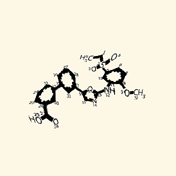 CCS(=O)(=O)c1ccc(OC)c(Nc2ncc(-c3cccc(-c4cccc(C(=O)O)c4)c3)o2)c1